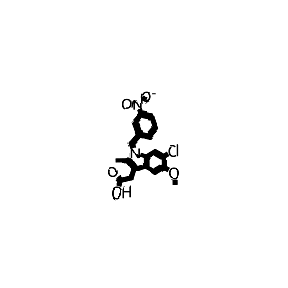 COc1cc2c(CC(=O)O)c(C)n(Cc3cccc([N+](=O)[O-])c3)c2cc1Cl